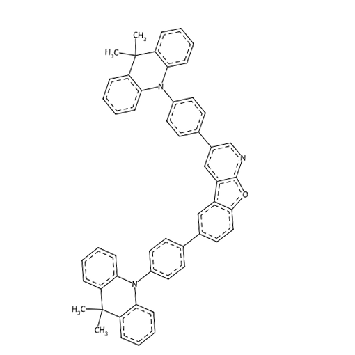 CC1(C)c2ccccc2N(c2ccc(-c3ccc4oc5ncc(-c6ccc(N7c8ccccc8C(C)(C)c8ccccc87)cc6)cc5c4c3)cc2)c2ccccc21